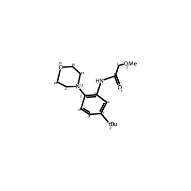 COCC(=O)Nc1cc(C(C)(C)C)ccc1N1CCOCC1